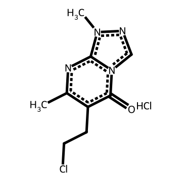 Cc1nc2n(C)ncn2c(=O)c1CCCl.Cl